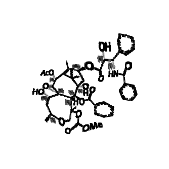 COC(=O)OC1(C)CO[C@@H](C)C[C@H](O)[C@@]2(C)C(=O)[C@H](OC(C)=O)C3=C(C)[C@@H](OC(=O)[C@H](O)[C@@H](NC(=O)c4ccccc4)c4ccccc4)C[C@@](O)([C@@H](OC(=O)c4ccccc4)[C@H]12)C3(C)C